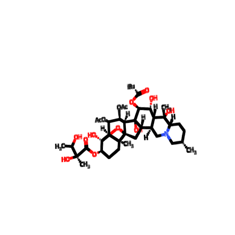 CC[C@@H](C)C(=O)O[C@H]1[C@H](O)[C@H]2[C@@H](CN3C[C@@H](C)CC[C@H]3[C@@]2(C)O)[C@@H]2C[C@]34O[C@@]5(O)[C@@H](OC(=O)[C@@](C)(O)C(C)O)CC[C@@]3(C)[C@@H]5[C@@H](OC(C)=O)[C@@H](OC(C)=O)[C@H]4[C@@]21O